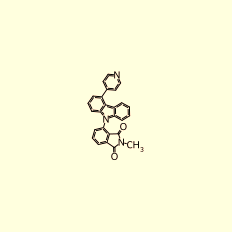 CN1C(=O)c2cccc(-n3c4ccccc4c4c(-c5ccncc5)cccc43)c2C1=O